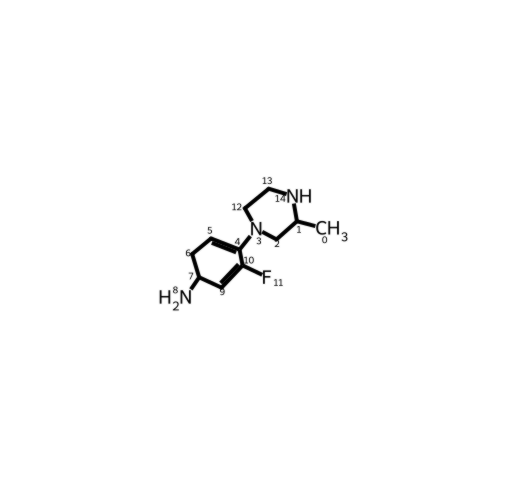 CC1CN(C2=CCC(N)C=C2F)CCN1